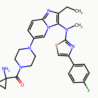 CCc1nc2ccc(N3CCN(C(=O)C4(N)CC4)CC3)cn2c1N(C)c1nc(-c2ccc(F)cc2)cs1